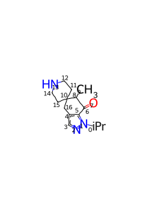 CC(C)n1ncc2c1C(=O)C(C)C1(CCNCC1)C2